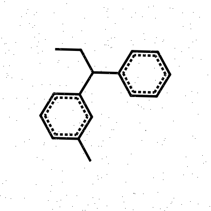 CCC(c1ccccc1)c1cccc(C)c1